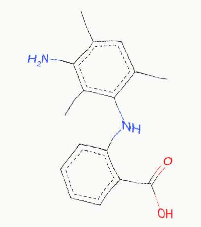 Cc1cc(C)c(Nc2ccccc2C(=O)O)c(C)c1N